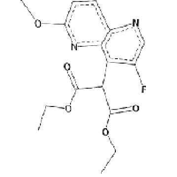 CCOC(=O)C(C(=O)OCC)c1c(F)cnc2ccc(OC)nc12